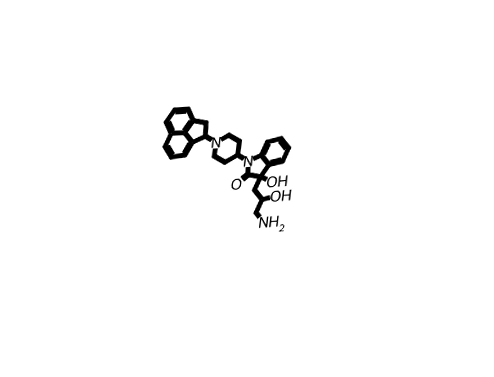 NCC(O)CC1(O)C(=O)N(C2CCN(C3Cc4cccc5cccc3c45)CC2)c2ccccc21